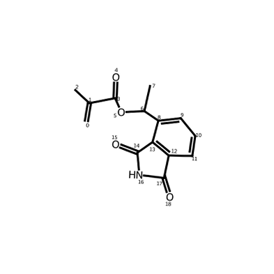 C=C(C)C(=O)OC(C)c1cccc2c1C(=O)NC2=O